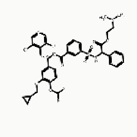 CN(C)CCOC(=O)C(NS(=O)(=O)c1cccc(C(=O)O[C@@H](Cc2c(Cl)cncc2Cl)c2ccc(OC(F)F)c(OCC3CC3)c2)c1)c1ccccc1